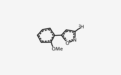 [2H]c1cc(-c2ccccc2OC)on1